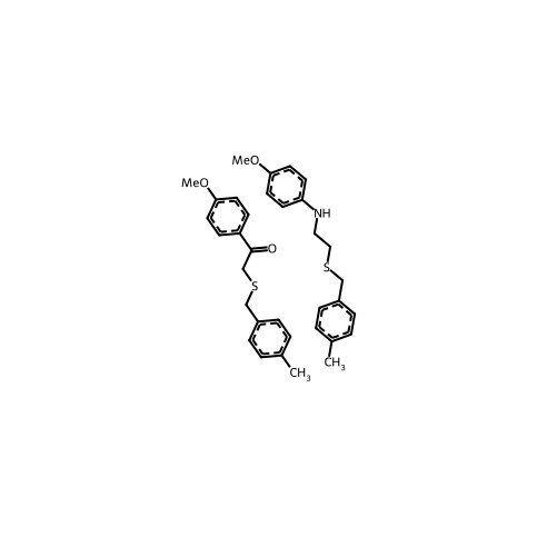 COc1ccc(C(=O)CSCc2ccc(C)cc2)cc1.COc1ccc(NCCSCc2ccc(C)cc2)cc1